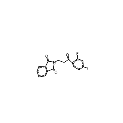 O=C(CCN1C(=O)c2ccccc2C1=O)c1ccc(I)cc1F